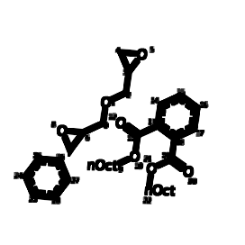 C(OCC1CO1)C1CO1.CCCCCCCCOC(=O)c1ccccc1C(=O)OCCCCCCCC.c1ccccc1